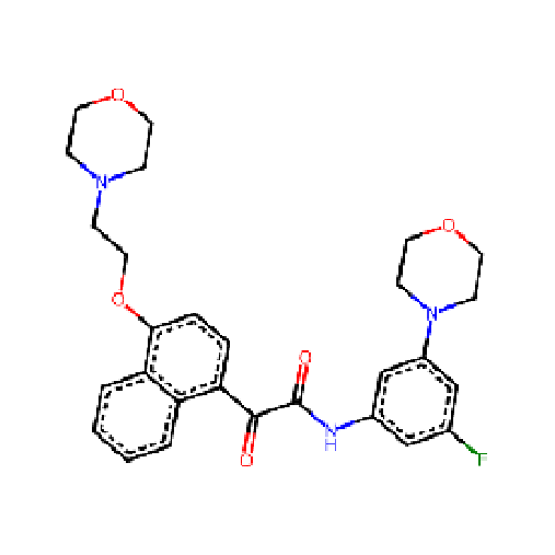 O=C(Nc1cc(F)cc(N2CCOCC2)c1)C(=O)c1ccc(OCCN2CCOCC2)c2ccccc12